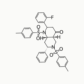 Cc1ccc(S(=O)(=O)N2C[C@H]3C(=O)CC(c4ccccc4F)N(S(=O)(=O)c4ccc(C)cc4)[C@H]3C[C@H]2c2ccccc2)cc1